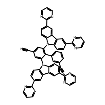 N#Cc1cccc(-c2c(-n3c4ccc(-c5ncccn5)cc4c4cc(-c5ncccn5)ccc43)cc(C#N)cc2-n2c3ccc(-c4ncccn4)cc3c3cc(-c4ncccn4)ccc32)c1